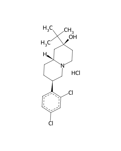 CC(C)(C)[C@]1(O)CCN2C[C@@H](c3ccc(Cl)cc3Cl)CC[C@@H]2C1.Cl